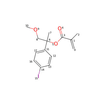 C=C(C)C(=O)OC(C)(COC)c1ccc(I)cc1